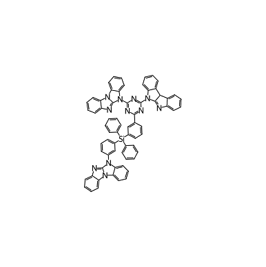 c1ccc([Si](c2ccccc2)(c2cccc(-c3nc(N4C5=Nc6ccccc6C5c5ccccc54)nc(-n4c5ccccc5n5c6ccccc6nc45)n3)c2)c2cccc(-n3c4ccccc4n4c5ccccc5nc34)c2)cc1